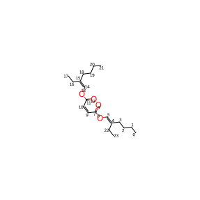 CCCC/C(=C/OC(=O)/C=C\C(=O)O/C=C(\CC)CCCC)CC